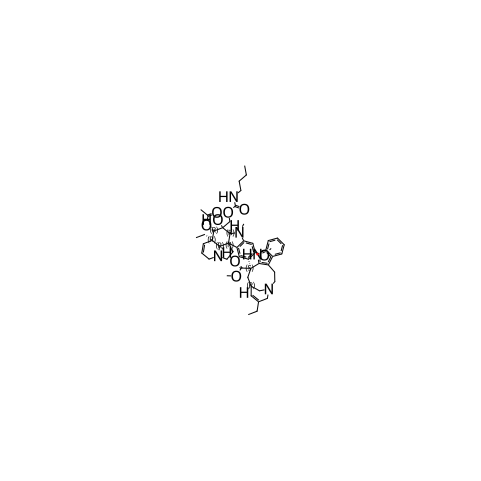 CCCCNC(=O)OCC1(O)[C@H](OC(C)=O)[C@]2(CC)C=CCN3CC[C@@]4(c5cc([C@@]6(C(=O)OC)C[C@@H]7C=C(CC)CN(CCc8c6[nH]c6ccccc86)C7)c(OC)cc5N(C)[C@@H]14)[C@@H]32